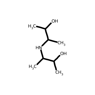 CC(O)C(C)NC(C)C(C)O